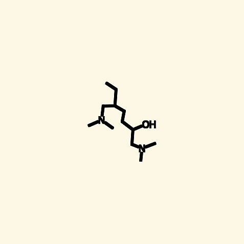 CCC(CCC(O)CN(C)C)CN(C)C